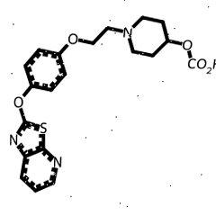 O=C(O)OC1CCN(CCOc2ccc(Oc3nc4cccnc4s3)cc2)CC1